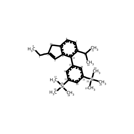 CCC1=Cc2c(ccc(C(C)C)c2-c2cc([Si](C)(C)C)cc([Si](C)(C)C)c2)[CH]1